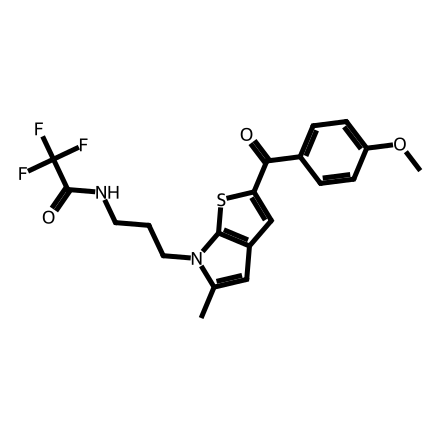 COc1ccc(C(=O)c2cc3cc(C)n(CCCNC(=O)C(F)(F)F)c3s2)cc1